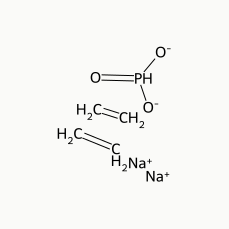 C=C.C=C.O=[PH]([O-])[O-].[Na+].[Na+]